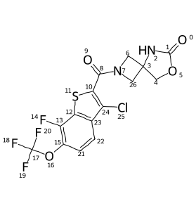 O=C1NC2(CO1)CN(C(=O)c1sc3c(F)c(OC(F)(F)F)ccc3c1Cl)C2